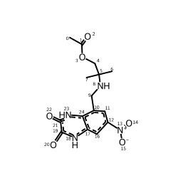 CC(=O)OCC(C)(C)NCc1cc([N+](=O)[O-])cc2[nH]c(=O)c(=O)[nH]c12